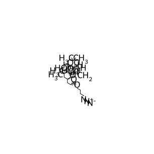 C=C1C(=O)[C@@]23[C@@H]4OC(C)(C)OC25OC[C@]2(C6=C(CC[C@H](OCCCCN=[N+]=[N-])O6)CC(C)(C)[C@H]2[C@@H]5O)[C@@H]3CC[C@@H]14